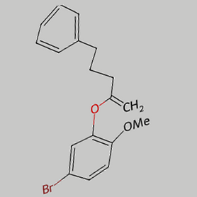 C=C(CCCc1ccccc1)Oc1cc(Br)ccc1OC